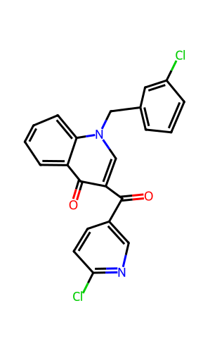 O=C(c1ccc(Cl)nc1)c1cn(Cc2cccc(Cl)c2)c2ccccc2c1=O